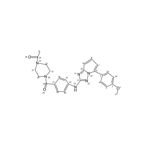 COc1ccc(-c2cccc3nc(Nc4ccc(C(=O)N5CCN(C(C)=O)CC5)cc4)nn23)cc1